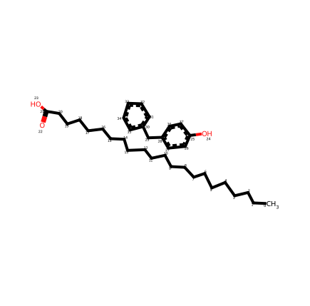 CCCCCCCCCCCCCCCCCCCCCC(=O)O.Oc1ccc(Cc2ccccc2)cc1